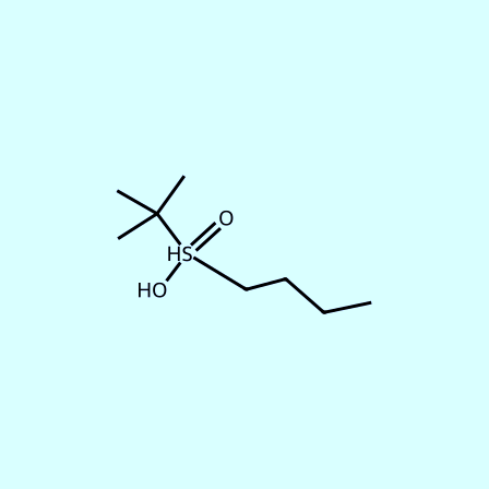 CCCC[SH](=O)(O)C(C)(C)C